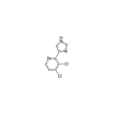 Clc1ccnc(-c2c[nH][c]n2)c1Cl